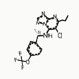 CCc1nc2ncnn2c(N[C@@H](C)c2ccc(OC(F)(F)F)cc2)c1Cl